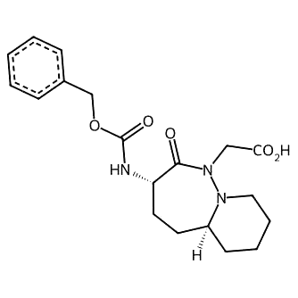 O=C(O)CN1C(=O)[C@@H](NC(=O)OCc2ccccc2)CC[C@@H]2CCCCN21